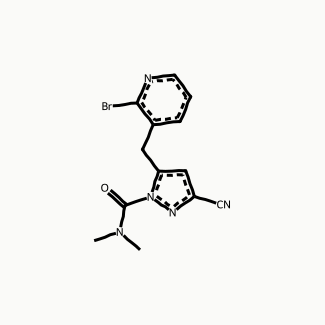 CN(C)C(=O)n1nc(C#N)cc1Cc1cccnc1Br